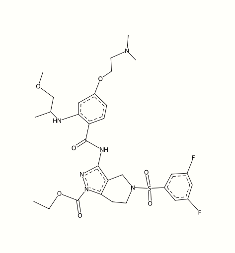 CCOC(=O)n1nc(NC(=O)c2ccc(OCCN(C)C)cc2NC(C)COC)c2c1CCN(S(=O)(=O)c1cc(F)cc(F)c1)C2